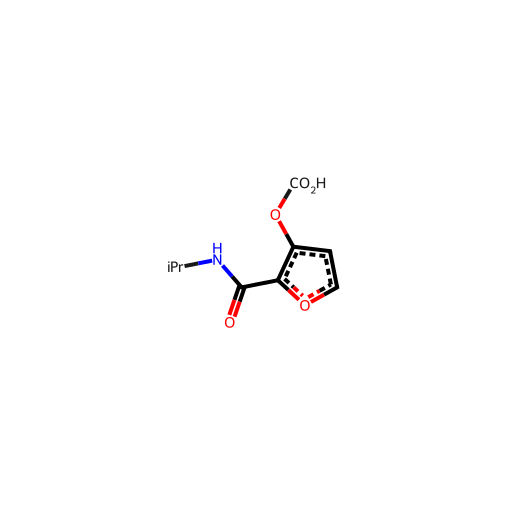 CC(C)NC(=O)c1occc1OC(=O)O